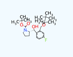 CC(C)(C)OC(=O)N1CCC[C@H]1C(O)c1ccc(F)cc1CO[Si](C)(C)C(C)(C)C